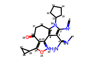 C=Nc1c(/C(N)=N\C)c2c(n1C1CCCC1)CCC(=O)c1c-2noc1C1CC1